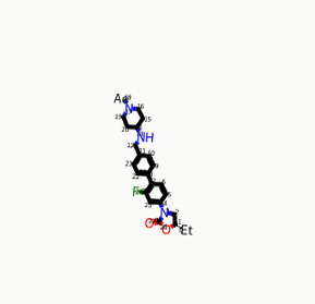 CC[C@H]1CN(c2ccc(-c3ccc(CNC4CCN(C(C)=O)CC4)cc3)c(F)c2)C(=O)O1